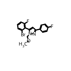 COCn1nc(-c2ccc(F)cc2)cc1-c1c(F)cccc1Br